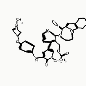 CC(=O)OCc1c(-c2cc(Nc3ccc(OC4CN(C)C4)cc3)c(=O)n(C)c2)ccnc1N1CCn2c(cc3c2CCCC3)C1=O